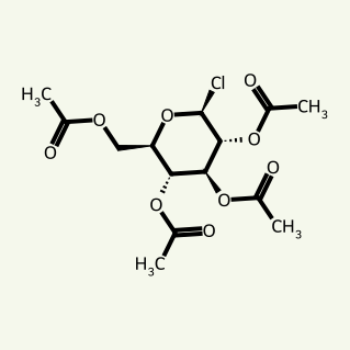 CC(=O)OC[C@H]1O[C@@H](Cl)[C@H](OC(C)=O)[C@@H](OC(C)=O)[C@@H]1OC(C)=O